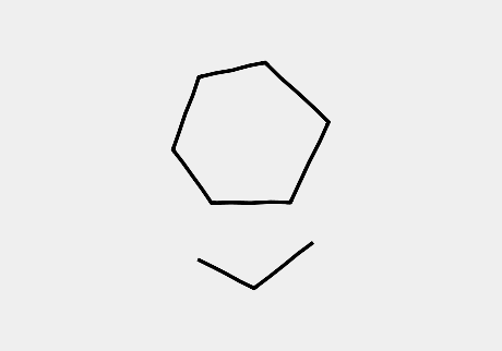 C1CCCCC1.CCC